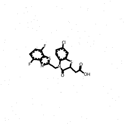 O=C(O)CC1Sc2cc(Cl)ccc2N(Cc2nc3c(F)ccc(F)c3s2)C1=O